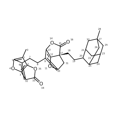 Cc1c2c3oc1c(CCc1c4oc5c1OC(=O)[C@]5(CCC1C5CC6CC1CC(C)(C6)C5)C4)c3C(=O)O2